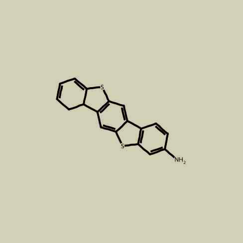 Nc1ccc2c(c1)sc1cc3c(cc12)SC1=CC=CCC13